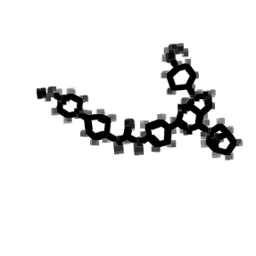 CO[C@H]1CC[C@@H](n2ncc3c(N4CC5CCC(C4)O5)nc(-c4ccc(NC(=O)Nc5ccc(N6CCN(C)CC6)cc5)cc4)nc32)CC1